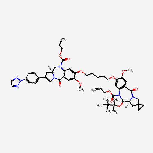 C=CCOC(=O)N1C[C@@H]2CC(c3ccc(-n4nccn4)cc3)=CN2C(=O)c2cc(OC)c(OCCCCCOc3cc4c(cc3OC)C(=O)N3CC5(CC5)C[C@H]3C(O[Si](C)(C)C(C)(C)C)N4C(=O)OCC=C)cc21